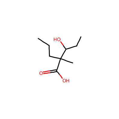 CCCC(C)(C(=O)O)C(O)CC